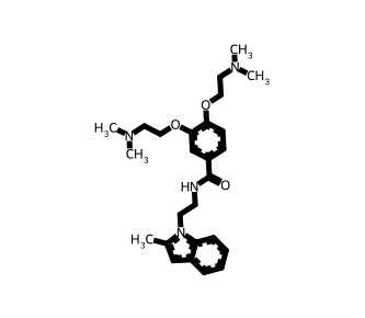 Cc1cc2ccccc2n1CCNC(=O)c1ccc(OCCN(C)C)c(OCCN(C)C)c1